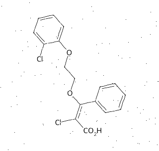 O=C(O)C(Cl)=C(OCCOc1ccccc1Cl)c1ccccc1